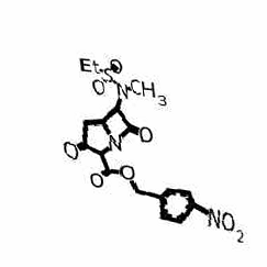 CCS(=O)(=O)N(C)C1C(=O)N2C(C(=O)OCc3ccc([N+](=O)[O-])cc3)C(=O)CC12